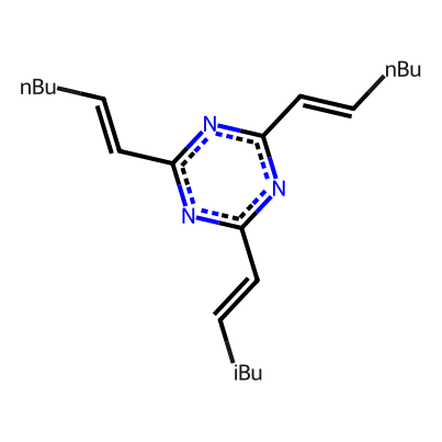 CCCCC=Cc1nc(C=CCCCC)nc(C=CC(C)CC)n1